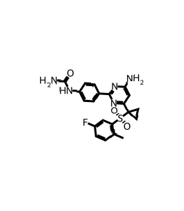 Cc1ccc(F)cc1S(=O)(=O)C1(c2cc(N)nc(-c3ccc(NC(N)=O)cc3)n2)CC1